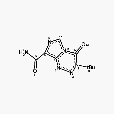 CC(C)(C)n1nnc2c(C(N)=O)ncn2c1=O